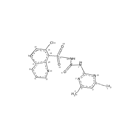 Cc1cc(C)nc(NC(=O)NS(=O)(=O)c2c(Cl)ccc3cccnc23)n1